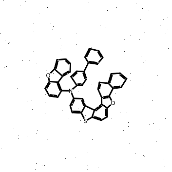 c1ccc(-c2ccc(N(c3ccc4sc5ccc6oc7c8ccccc8ccc7c6c5c4c3)c3cccc4oc5ccccc5c34)cc2)cc1